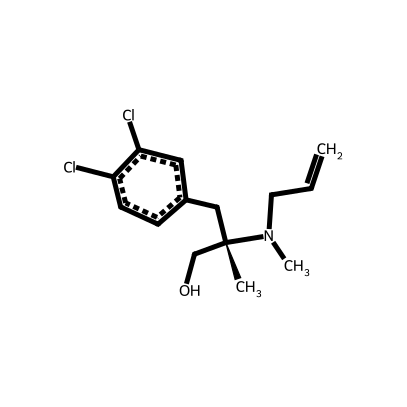 C=CCN(C)[C@](C)(CO)Cc1ccc(Cl)c(Cl)c1